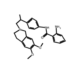 COc1cc2c(cc1OC)CN(CC(C)c1ccc(NC(=O)c3ccccc3N)cc1)CC2